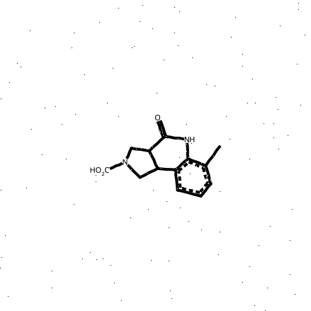 Cc1cccc2c1NC(=O)C1CN(C(=O)O)CC21